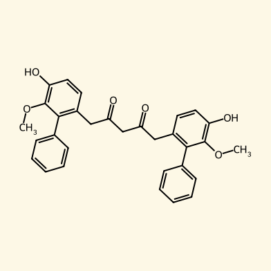 COc1c(O)ccc(CC(=O)CC(=O)Cc2ccc(O)c(OC)c2-c2ccccc2)c1-c1ccccc1